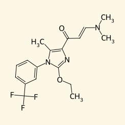 CCOc1nc(C(=O)C=CN(C)C)c(C)n1-c1cccc(C(F)(F)F)c1